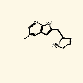 Cc1cnc2[nH]c(CC3CCCN3)cc2c1